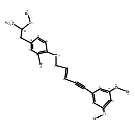 CCOc1cc(C#CC=CCOc2ccc(CC(OCC)C(=O)O)cc2Br)cc(OCC)c1